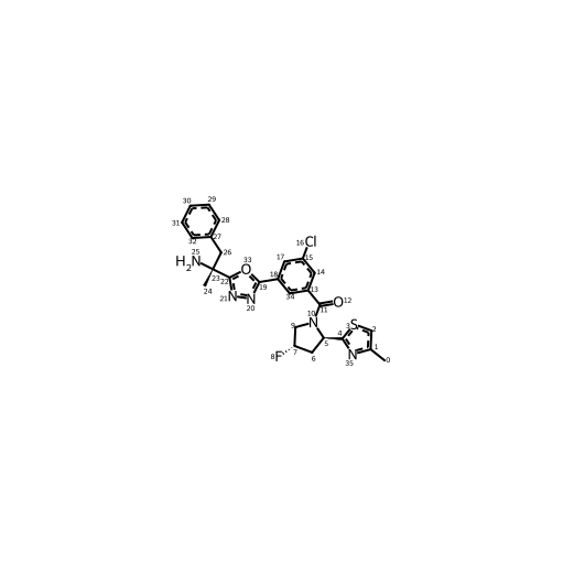 Cc1csc([C@H]2C[C@H](F)CN2C(=O)c2cc(Cl)cc(-c3nnc([C@](C)(N)Cc4ccccc4)o3)c2)n1